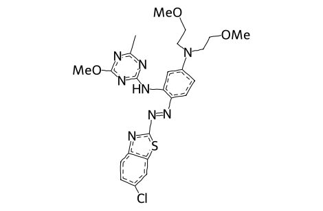 COCCN(CCOC)c1ccc(/N=N/c2nc3ccc(Cl)cc3s2)c(Nc2nc(C)nc(OC)n2)c1